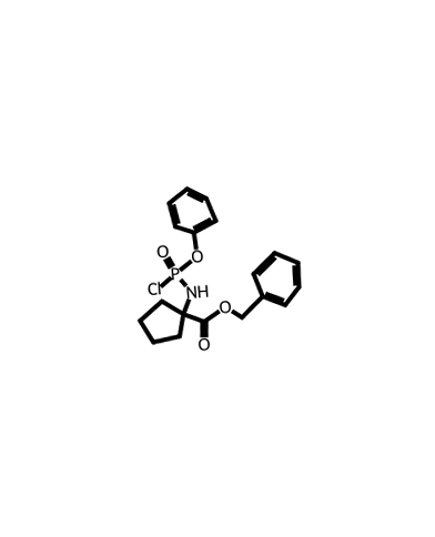 O=C(OCc1ccccc1)C1(NP(=O)(Cl)Oc2ccccc2)CCCC1